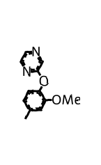 COc1cc(C)ccc1Oc1cnccn1